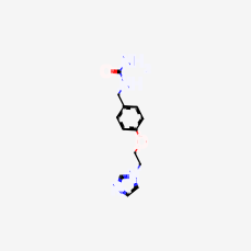 NC(=O)NCc1ccc(OCCn2ccnc2)cc1